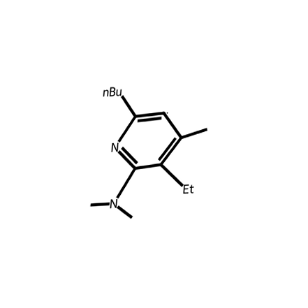 CCCCc1[c]c(C)c(CC)c(N(C)C)n1